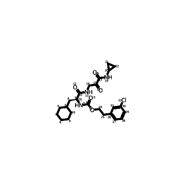 O=C(N[C@@H](CC1CCCCC1)C(=O)NCC(=O)C(=O)NC1CC1)OCCc1cccc(Cl)c1